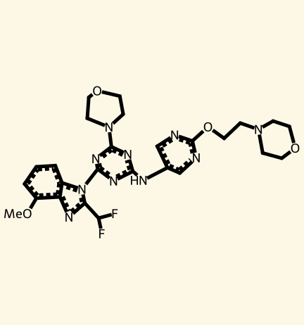 COc1cccc2c1nc(C(F)F)n2-c1nc(Nc2cnc(OCCN3CCOCC3)nc2)nc(N2CCOCC2)n1